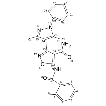 Cc1ccccc1C(=O)Nc1onc(-c2c(C)nn(-c3ccccc3)c2C)c1C(N)=O